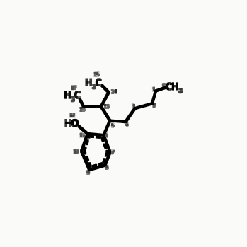 CCCCCC(c1ccccc1O)C(CC)CC